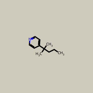 CCCC(C)(C)c1ccncc1